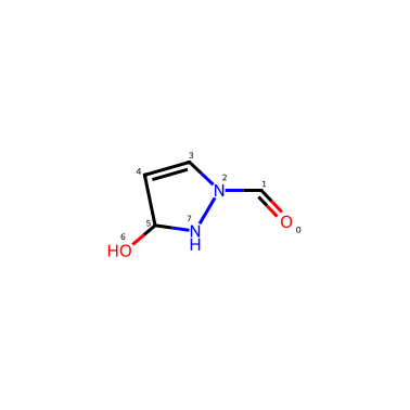 O=CN1C=CC(O)N1